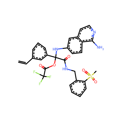 C=Cc1cccc(C(Nc2ccc3c(N)nccc3c2)(OC(=O)C(F)(F)F)C(=O)NCc2ccccc2S(C)(=O)=O)c1